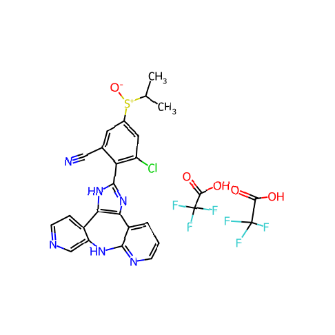 CC(C)[S+]([O-])c1cc(Cl)c(-c2nc3c([nH]2)-c2ccncc2Nc2ncccc2-3)c(C#N)c1.O=C(O)C(F)(F)F.O=C(O)C(F)(F)F